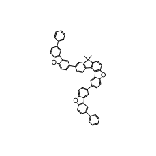 CC1(C)c2cc(-c3ccc4oc5ccc(-c6ccccc6)cc5c4c3)ccc2-c2c1ccc1oc3ccc(-c4ccc5oc6ccc(-c7ccccc7)cc6c5c4)cc3c21